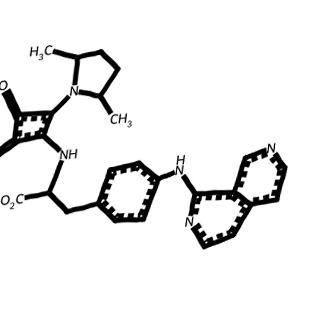 CC1CCC(C)N1c1c(NC(Cc2ccc(Nc3nccc4ccncc34)cc2)C(=O)O)c(=O)c1=O